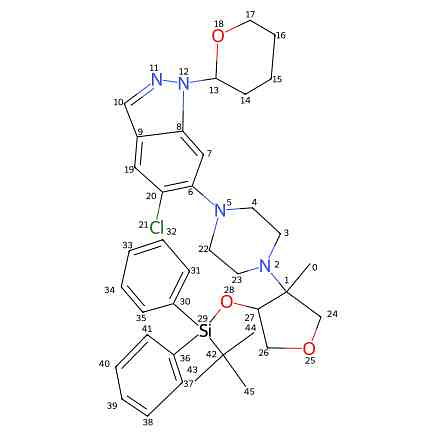 CC1(N2CCN(c3cc4c(cnn4C4CCCCO4)cc3Cl)CC2)COCC1O[Si](c1ccccc1)(c1ccccc1)C(C)(C)C